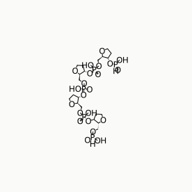 O=[PH](O)OC[C@H]1OCC[C@@H]1OP(=O)(O)OC[C@H]1OCC[C@@H]1OP(=O)(O)OC[C@H]1OCC[C@@H]1OP(=O)(O)OC[C@H]1OCC[C@@H]1O[PH](=O)O